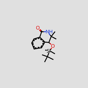 CC1(C)NC(=O)c2ccccc2C1O[Si](C)(C)C(C)(C)C